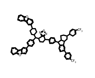 FC(F)(F)C1=CCC(C2CCC3C(C2)c2cc(-c4ccc(C(F)(F)F)cc4)ccc2C3c2ccc(C3CCC(C(c4ccc(-c5ccc6oc7ccccc7c6c5)cc4)C4CCC(c5ccc6oc7ccccc7c6c5)CC4)c4nsnc43)cc2)C=C1